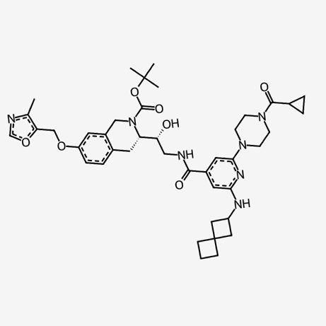 Cc1ncoc1COc1ccc2c(c1)CN(C(=O)OC(C)(C)C)[C@H]([C@H](O)CNC(=O)c1cc(NC3CC4(CCC4)C3)nc(N3CCN(C(=O)C4CC4)CC3)c1)C2